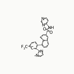 Cn1ccnc1-c1cc(C(F)(F)F)ccc1-c1cccc2cc(S(=O)(=O)Nc3ccncn3)ccc12